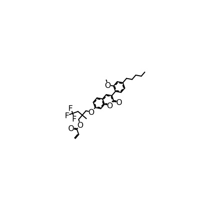 C=CC(=O)OCC(C)(COc1ccc2cc(-c3ccc(CCCCC)cc3OC)c(=O)oc2c1)CC(F)(F)F